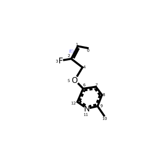 C/C=C(/F)COc1ccc(C)nc1